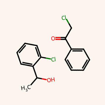 CC(O)c1ccccc1Cl.O=C(CCl)c1ccccc1